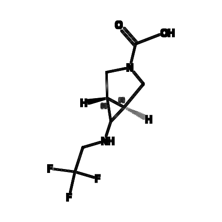 O=C(O)N1C[C@H]2C(NCC(F)(F)F)[C@@H]2C1